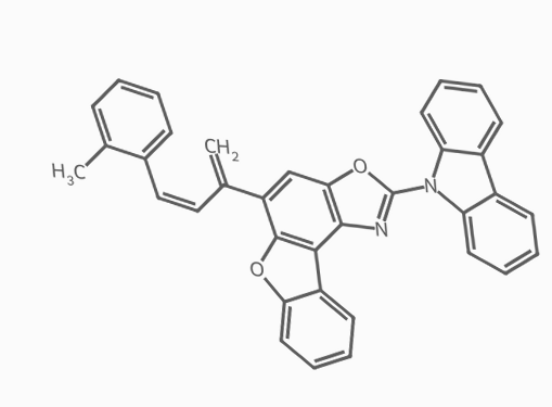 C=C(/C=C\c1ccccc1C)c1cc2oc(-n3c4ccccc4c4ccccc43)nc2c2c1oc1ccccc12